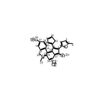 Cc1ccc(C2=C(C3=CC=CC3)c3c(-c4ccc(C(C)(C)C)cc4)c(=[Si](C)C)ccc3=[C]2[Zr+2])o1.[Cl-].[Cl-]